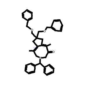 C/C1=C2\CC(COCc3ccccc3)(COCc3ccccc3)C\C2=C(/C)C(=O)CN(C(c2ccccc2)c2ccccc2)C1